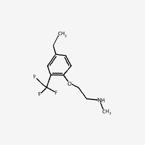 CCc1ccc(OCCNC)c(C(F)(F)F)c1